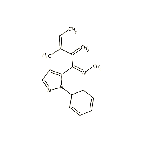 C=C(/C(C)=C\C)/C(=N\C)c1ccnn1C1C=CC=CC1